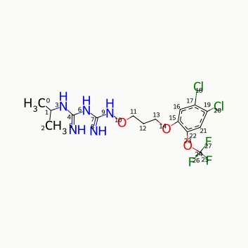 CC(C)NC(=N)NC(=N)NOCCCOc1cc(Cl)c(Cl)cc1OC(F)(F)F